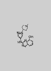 CN1CCC(n2cc(Nc3ncc4cccc(O)c4n3)cn2)CC1